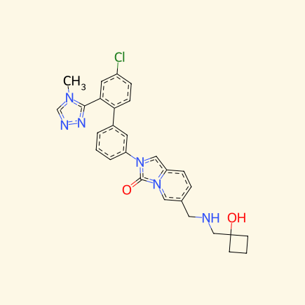 Cn1cnnc1-c1cc(Cl)ccc1-c1cccc(-n2cc3ccc(CNCC4(O)CCC4)cn3c2=O)c1